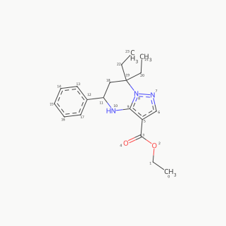 CCOC(=O)c1cnn2c1NC(c1ccccc1)CC2(CC)CC